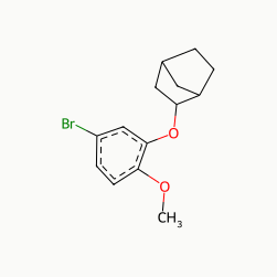 COc1ccc(Br)cc1OC1CC2CCC1C2